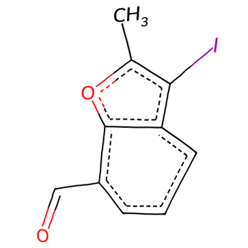 Cc1oc2c(C=O)cccc2c1I